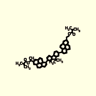 C=C(C)C(=O)OCCc1cc2ccc3ccc(-c4ccc5c(c4)C(C)(C)c4cc(-c6ccc7ccc8cc(C(=C)OC(=O)C(=C)C)cc9ccc6c7c89)ccc4-5)c4ccc(c1)c2c34